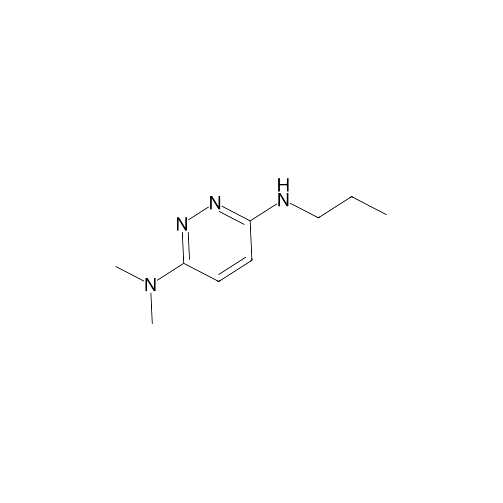 CCCNc1ccc(N(C)C)nn1